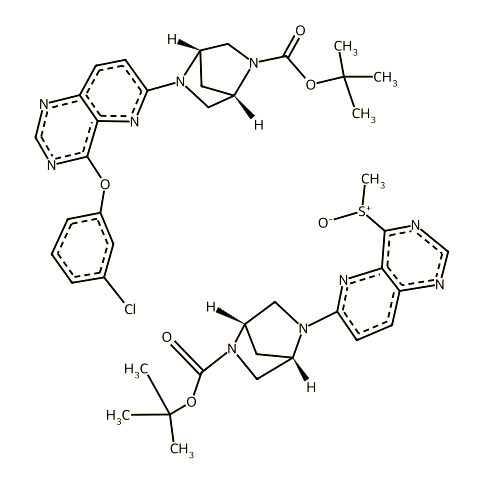 CC(C)(C)OC(=O)N1C[C@@H]2C[C@H]1CN2c1ccc2ncnc(Oc3cccc(Cl)c3)c2n1.C[S+]([O-])c1ncnc2ccc(N3C[C@@H]4C[C@H]3CN4C(=O)OC(C)(C)C)nc12